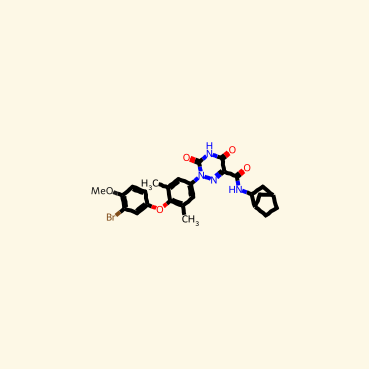 COc1ccc(Oc2c(C)cc(-n3nc(C(=O)NC4CC5CCC4C5)c(=O)[nH]c3=O)cc2C)cc1Br